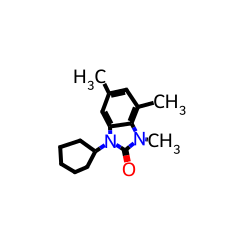 Cc1cc(C)c2c(c1)n(C1CCCCC1)c(=O)n2C